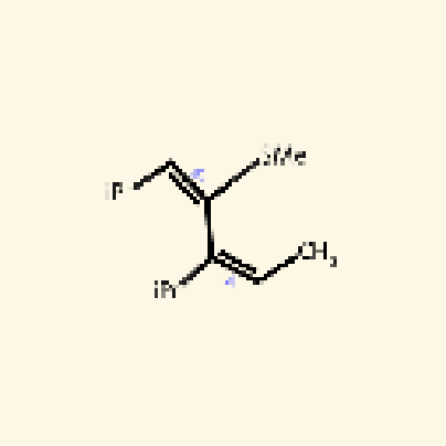 C/C=C(\C(=C/C(C)C)SC)C(C)C